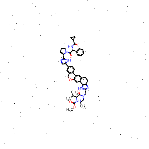 CCCN(Cc1nc2c([nH]1)-c1cc3c(cc1CC2)-c1ccc(-c2cnc(C4=CCCN4C(=O)[C@H](NC(=O)C4CC4)c4ccccc4)[nH]2)cc1CO3)C(=O)[C@@H](NC(=O)OC)C(C)C